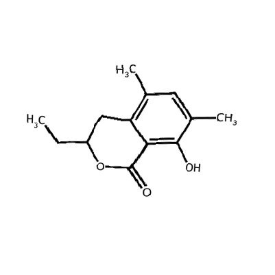 CCC1Cc2c(C)cc(C)c(O)c2C(=O)O1